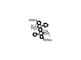 CCCCCCc1ccc2c(c1)C(C)(C)c1cc3c(cc1N2c1ccccc1)C(C)(C)c1cc(CCCCCC)ccc1N3c1ccccc1